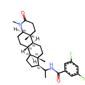 CC(NC(=O)c1cc(F)cc(F)c1)[C@H]1CC[C@H]2[C@@H]3CC[C@H]4N(C)C(=O)CC[C@]4(C)[C@H]3CC[C@]12C